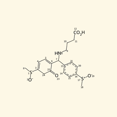 C[S+]([O-])C1=CC=C(C(NCCCC(=O)O)c2ccc([S+](C)[O-])cc2)C(=O)C1